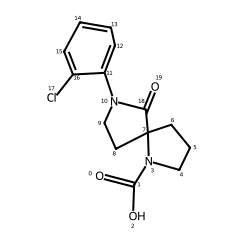 O=C(O)N1CCCC12CCN(c1ccccc1Cl)C2=O